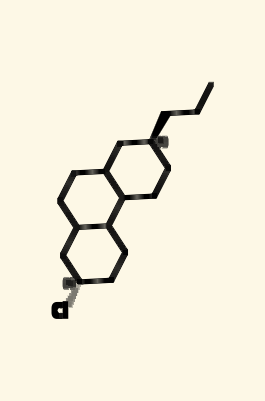 CCC[C@H]1CCC2C(CCC3C[C@@H](Cl)CCC32)C1